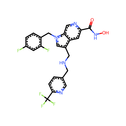 O=C(NO)c1cc2c(CNCc3ccc(C(F)(F)F)nc3)cn(Cc3ccc(F)cc3F)c2cn1